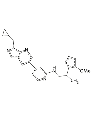 COc1ccsc1C(C)CNc1cc(-c2cnc3c(cnn3CC3CC3)c2)ncn1